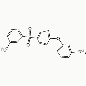 Cc1cccc(S(=O)(=O)c2ccc(Oc3cccc(N)c3)cc2)c1